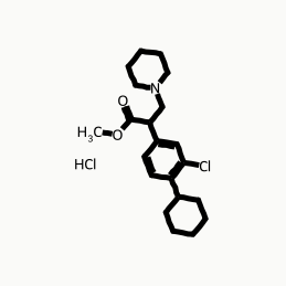 COC(=O)C(CN1CCCCC1)c1ccc(C2CCCCC2)c(Cl)c1.Cl